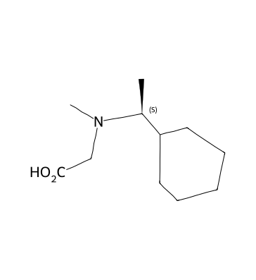 C[C@@H](C1CCCCC1)N(C)CC(=O)O